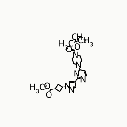 COC(=O)[C@H]1C[C@H](n2cc(-c3nccc(N4CCN(C(=O)OC(C)(C)C)CC4)n3)cn2)C1